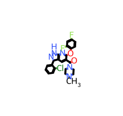 CN1CCN(C(=O)c2cc3c(-c4ccccc4Cl)n[nH]c3nc2Oc2ccc(F)cc2F)CC1